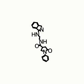 O=C(NCCNC1=NCc2ccccc21)C1CC(=O)N(c2ccccc2)C1